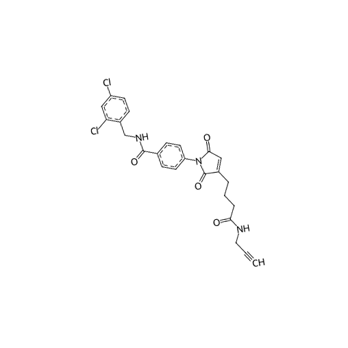 C#CCNC(=O)CCCC1=CC(=O)N(c2ccc(C(=O)NCc3ccc(Cl)cc3Cl)cc2)C1=O